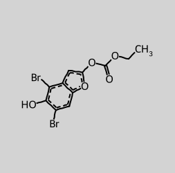 CCOC(=O)Oc1cc2c(Br)c(O)c(Br)cc2o1